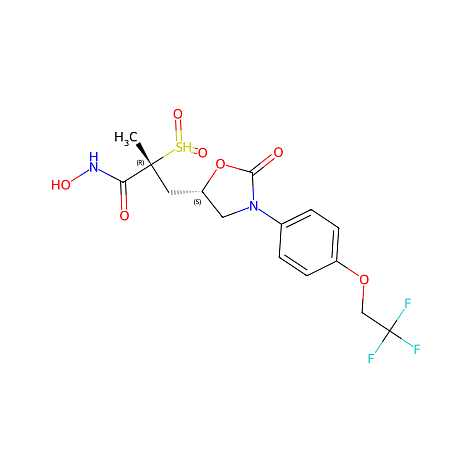 C[C@@](C[C@H]1CN(c2ccc(OCC(F)(F)F)cc2)C(=O)O1)(C(=O)NO)[SH](=O)=O